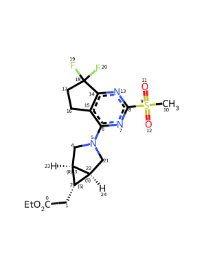 CCOC(=O)C[C@@H]1[C@H]2CN(c3nc(S(C)(=O)=O)nc4c3CCC4(F)F)C[C@@H]12